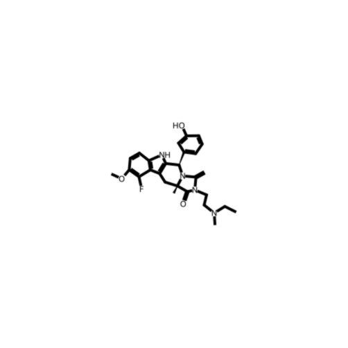 C=C1N(CCN(C)CC)C(=O)[C@]2(C)Cc3c([nH]c4ccc(OC)c(F)c34)[C@@H](c3cccc(O)c3)N12